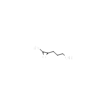 CC(C)C1OC1CCCO